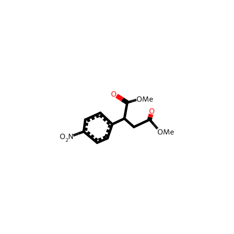 COC(=O)CC(C(=O)OC)c1ccc([N+](=O)[O-])cc1